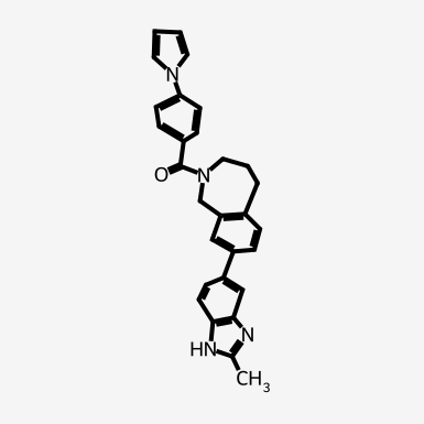 Cc1nc2cc(-c3ccc4c(c3)CN(C(=O)c3ccc(-n5cccc5)cc3)CCC4)ccc2[nH]1